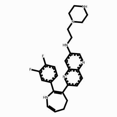 Fc1ccc(C2=C(c3ccc4ncc(NCCN5CCNCC5)cc4n3)CCC=CN2)cc1F